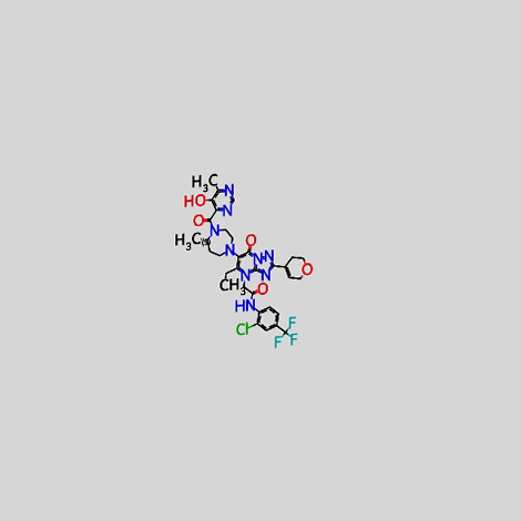 CCc1c(N2CC[C@H](C)N(C(=O)c3ncnc(C)c3O)CC2)c(=O)n2nc(C3=CCOCC3)nc2n1CC(=O)Nc1ccc(C(F)(F)F)cc1Cl